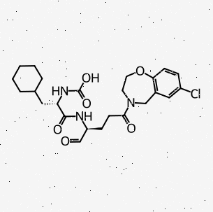 O=C[C@H](CCC(=O)N1CCOc2ccc(Cl)cc2C1)NC(=O)[C@H](CC1CCCCC1)NC(=O)O